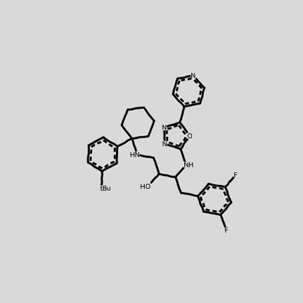 CC(C)(C)c1cccc(C2(NCC(O)C(Cc3cc(F)cc(F)c3)Nc3nnc(-c4ccncc4)o3)CCCCC2)c1